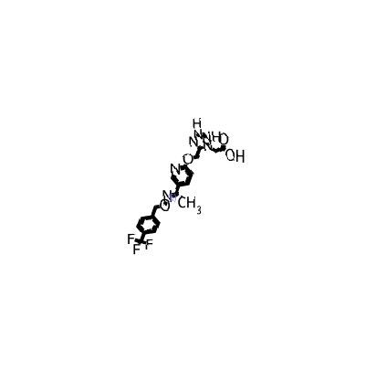 C/C(=N\OCc1ccc(C(F)(F)F)cc1)c1ccc(OCC2=NNNN2CC(=O)O)nc1